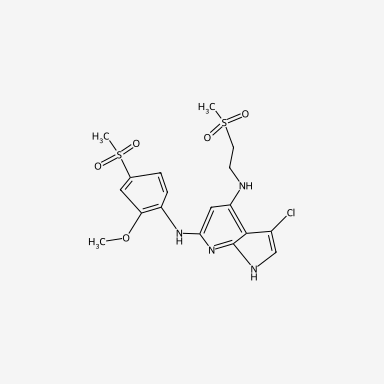 COc1cc(S(C)(=O)=O)ccc1Nc1cc(NCCS(C)(=O)=O)c2c(Cl)c[nH]c2n1